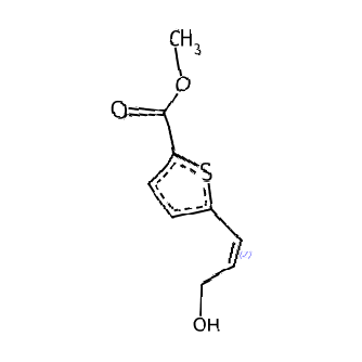 COC(=O)c1ccc(/C=C\CO)s1